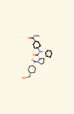 COC(=O)c1ccc(NC(=O)[C@@H]2[C@H](c3ccccc3)CCN2C(=O)[C@H]2CC[C@H](CO)CC2)cc1